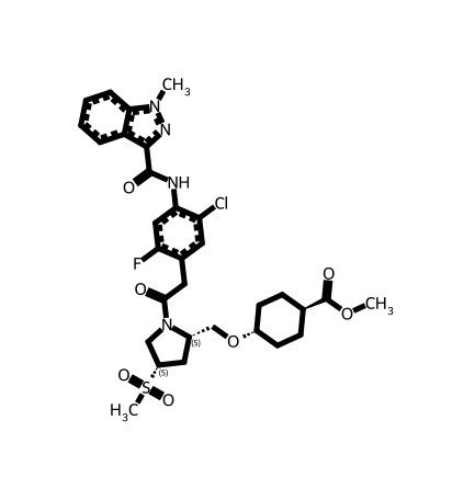 COC(=O)[C@H]1CC[C@H](OC[C@@H]2C[C@H](S(C)(=O)=O)CN2C(=O)Cc2cc(Cl)c(NC(=O)c3nn(C)c4ccccc34)cc2F)CC1